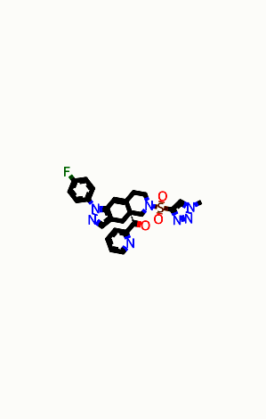 Cn1cc(S(=O)(=O)N2CCC3=Cc4c(cnn4-c4ccc(F)cc4)C[C@]3(C(=O)c3ccccn3)C2)nn1